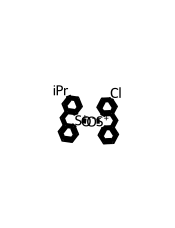 CC(C)c1ccc2c(c1)Cc1ccccc1[S+]2[O-].[O-][S+]1c2ccccc2Cc2cc(Cl)ccc21